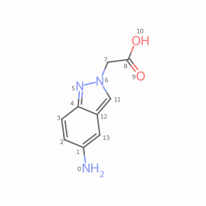 Nc1ccc2nn(CC(=O)O)cc2c1